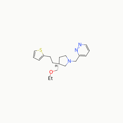 CCOC[C@]1(CCc2cccs2)CCN(Cc2cccnn2)C1